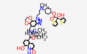 CN(CCCn1nnc2cc(CNC[C@H](O[Si](C)(C)C(C)(C)C)c3ccc(O)c4[nH]c(=O)ccc34)c3c(c21)OCCO3)[C@H]1CC[C@H](OC(=O)C(O)(c2cccs2)c2cccs2)CC1